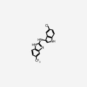 FC(F)(F)c1ccc2[nH]c(Nc3c[nH]c4ccc(Cl)cc34)nc2c1